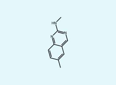 CNc1ncc2cc(C)ccc2n1